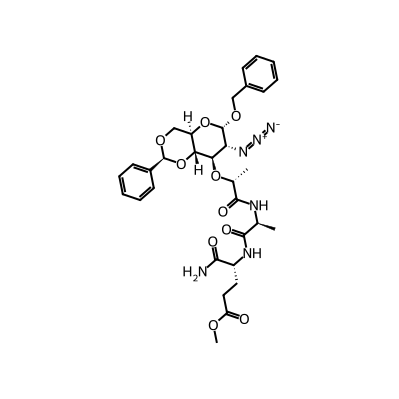 COC(=O)CC[C@@H](NC(=O)[C@H](C)NC(=O)[C@@H](C)O[C@@H]1[C@@H](N=[N+]=[N-])[C@@H](OCc2ccccc2)O[C@@H]2CO[C@H](c3ccccc3)O[C@@H]12)C(N)=O